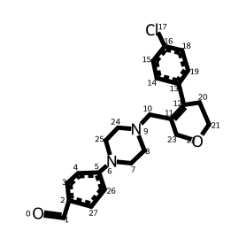 O=Cc1ccc(N2CCN(CC3=C(c4ccc(Cl)cc4)CCOC3)CC2)cc1